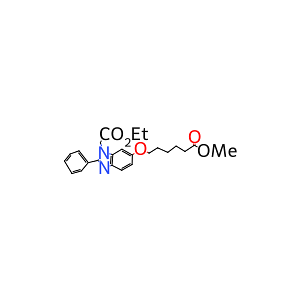 CCOC(=O)Cn1c(-c2ccccc2)nc2ccc(OCCCCCC(=O)OC)cc21